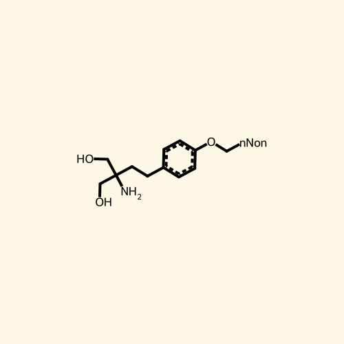 CCCCCCCCCCOc1ccc(CCC(N)(CO)CO)cc1